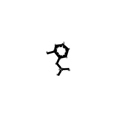 Cc1cnccc1CN(C)C